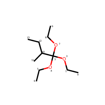 CCOC(OCC)(OCC)C(C)CC